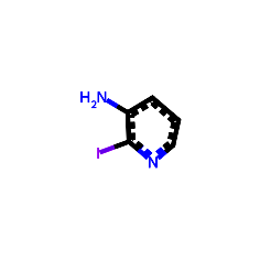 Nc1cccnc1I